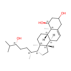 CC(C)[C@H](O)CC[C@@H](C)[C@H]1CC[C@H]2[C@@H]3CC=C4CC(O)C[C@H](O)[C@]4(C)[C@H]3CC[C@]12C